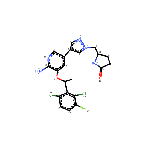 CC(Oc1cc(-c2cnn(CC3CCC(=O)N3)c2)cnc1N)c1c(Cl)ccc(F)c1Cl